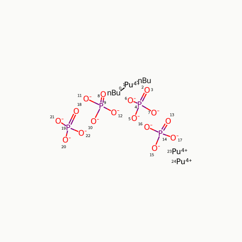 CCC[CH2][Pu+4][CH2]CCC.O=P([O-])([O-])[O-].O=P([O-])([O-])[O-].O=P([O-])([O-])[O-].O=P([O-])([O-])[O-].[Pu+4].[Pu+4]